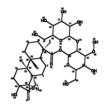 C=C1C[C@@]23CCC4[C@](C)(C(=O)OC5OC(CO)C(O)C(OO)C5OC5OC(CO)C(O)C(O)C5O)CCC[C@@]4(C)[C@@H]2CCC1(O)[C@@H]3C